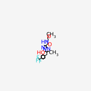 COCCNC(=O)c1cnn2c(O)c(Cc3ccc(C(F)(F)F)cc3)c(C)nc12